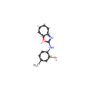 Cc1ccc(Nc2nc3ccccc3o2)c(Br)c1